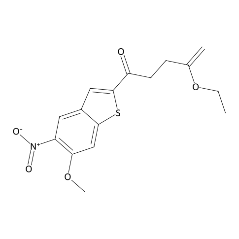 C=C(CCC(=O)c1cc2cc([N+](=O)[O-])c(OC)cc2s1)OCC